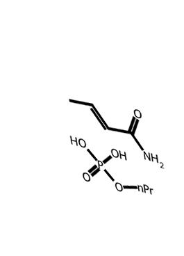 CC=CC(N)=O.CCCOP(=O)(O)O